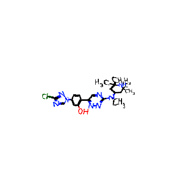 CN(c1ncc(-c2ccc(-n3cnc(Cl)n3)cc2O)nn1)C1CC(C)(C)NC(C)(C)C1